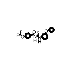 O=C(NC(=S)Nc1cccc(Oc2ccccc2)c1)c1ccc(OC(F)F)cc1